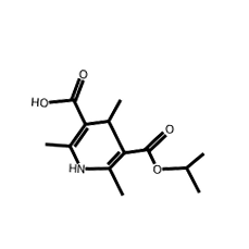 CC1=C(C(=O)O)C(C)C(C(=O)OC(C)C)=C(C)N1